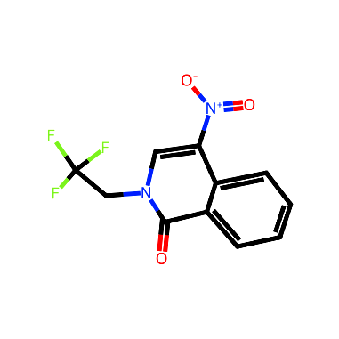 O=c1c2ccccc2c([N+](=O)[O-])cn1CC(F)(F)F